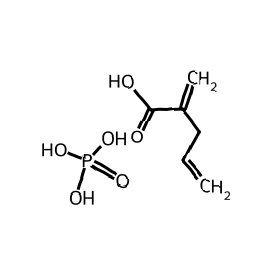 C=CCC(=C)C(=O)O.O=P(O)(O)O